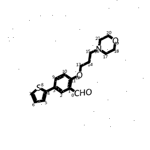 O=Cc1cc(-c2cccs2)ccc1OCCCN1CCOCC1